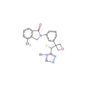 CCn1cnnc1C(F)C1(c2cccc(N3Cc4c(cccc4C(F)(F)F)C3=O)c2)COC1